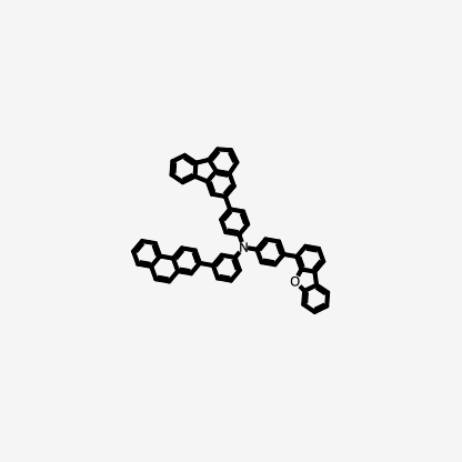 c1cc(-c2ccc3c(ccc4ccccc43)c2)cc(N(c2ccc(-c3cc4c5c(cccc5c3)-c3ccccc3-4)cc2)c2ccc(-c3cccc4c3oc3ccccc34)cc2)c1